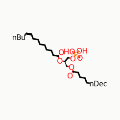 CCCC/C=C\CCCCCCCC(=O)O[C@H](COC(=O)CCCCCCCCCCCCCC)COP(=O)(O)O